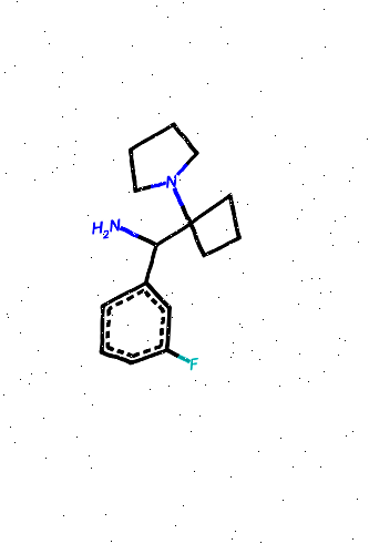 NC(c1cccc(F)c1)C1(N2CCCC2)CCC1